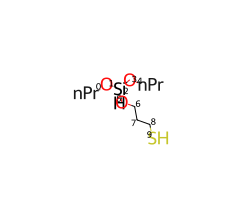 CCCO[SiH](OCCC)OCCCS